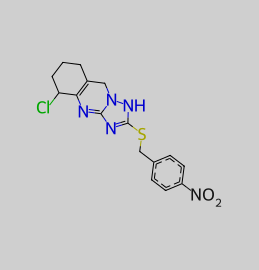 O=[N+]([O-])c1ccc(CSC2=NC3=NC4=C(CCCC4Cl)CN3N2)cc1